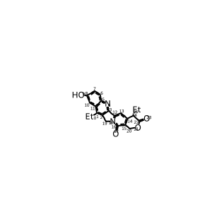 CCc1c2c(nc3ccc(O)cc13)-c1cc3c(c(=O)n1C2)COC(=O)[C@H]3CC